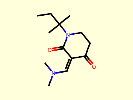 CCC(C)(C)N1CCC(=O)C(=CN(C)C)C1=O